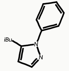 CCC(C)c1ccnn1-c1ccccc1